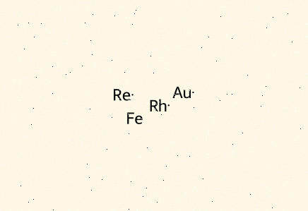 [Au].[Fe].[Re].[Rh]